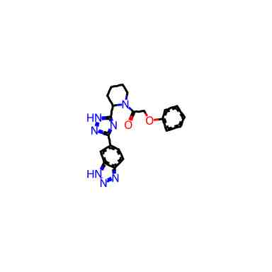 O=C(COc1ccccc1)N1CCCCC1c1nc(-c2ccc3nn[nH]c3c2)n[nH]1